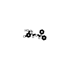 O=C(COCC(=O)N(c1ccccc1)C1CCCCC1)Nc1ccc(Cl)cc1C(=O)O